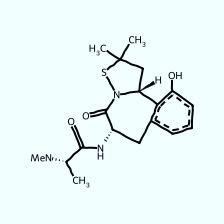 CN[C@@H](C)C(=O)N[C@H]1Cc2cccc(O)c2[C@H]2CC(C)(C)SN2C1=O